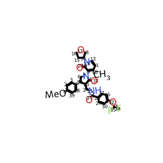 COc1ccc([C@@H]2CN(c3c(C)ccn(C4CCOC4)c3=O)C(=O)C2CNC(=O)c2ccc(OC(F)F)cc2)cc1